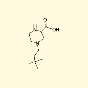 CC(C)(C)CCN1CCNC(C(=O)O)C1